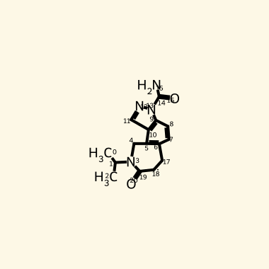 CC(C)N1Cc2c(ccc3c2cnn3C(N)=O)C[CH]C1=O